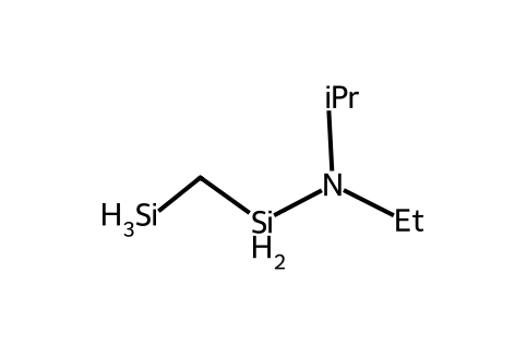 CCN([SiH2]C[SiH3])C(C)C